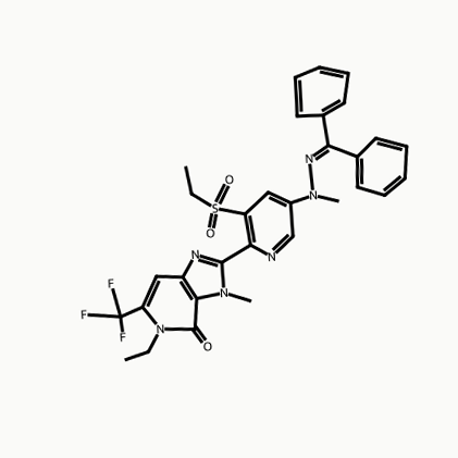 CCn1c(C(F)(F)F)cc2nc(-c3ncc(N(C)N=C(c4ccccc4)c4ccccc4)cc3S(=O)(=O)CC)n(C)c2c1=O